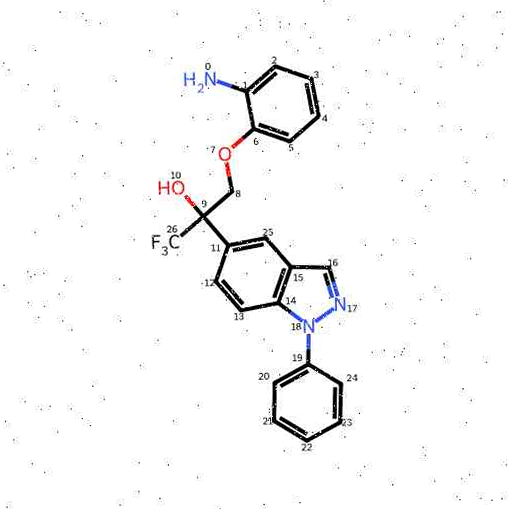 Nc1ccccc1OCC(O)(c1ccc2c(cnn2-c2ccccc2)c1)C(F)(F)F